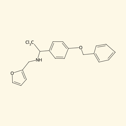 ClC(Cl)(Cl)C(NCc1ccco1)c1ccc(OCc2ccccc2)cc1